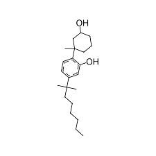 CCCCCCC(C)(C)c1ccc(C2(C)CCCC(O)C2)c(O)c1